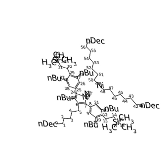 CCCCCCCCCCCCCCCC1=C(c2cc(CCCC)c(CC[Si](C)(C)C)c(CCCC)c2)[N+](=[N-])C(c2cc(CCCC)c(CC[Si](C)(C)C)c(CCCC)c2)=C1CCCC.CCCCCCCCCCCCCCCC[CH2][Ni][CH2]CCCCCCCCCCCCCCCC